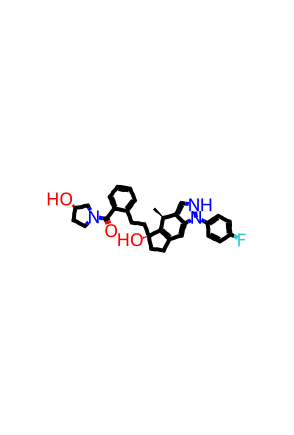 C[C@H]1C2=CNN(c3ccc(F)cc3)C2=CC2=C1[C@](O)(CCc1ccccc1C(=O)N1CC[C@@H](O)C1)CC2